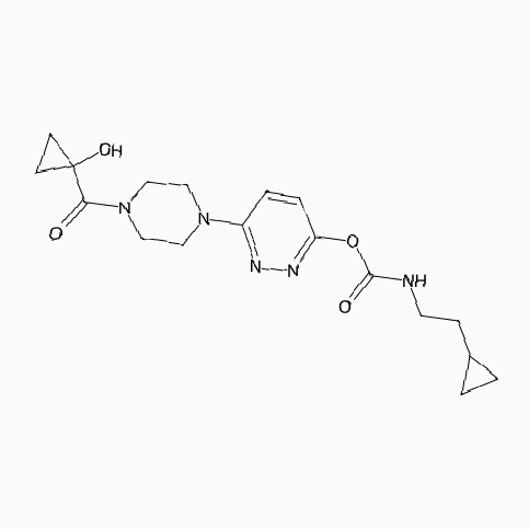 O=C(NCCC1CC1)Oc1ccc(N2CCN(C(=O)C3(O)CC3)CC2)nn1